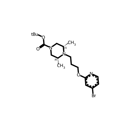 C[C@@H]1CN(C(=O)OC(C)(C)C)C[C@H](C)N1CCCOc1cc(Br)ccn1